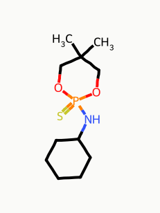 CC1(C)COP(=S)(NC2CCCCC2)OC1